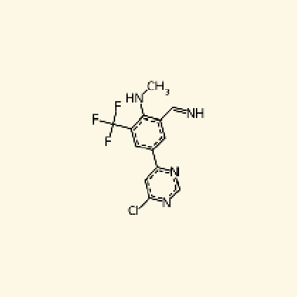 CNc1c(C=N)cc(-c2cc(Cl)ncn2)cc1C(F)(F)F